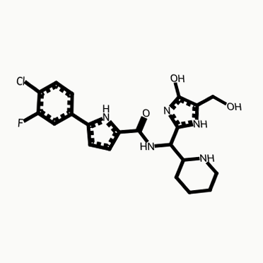 O=C(NC(c1nc(O)c(CO)[nH]1)C1CCCCN1)c1ccc(-c2ccc(Cl)c(F)c2)[nH]1